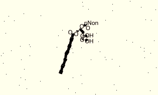 C#CC#CC#CC#CC#CC#CC(=O)OC[C@@H](COP(=O)(O)O)OC(=O)CCCCCCCCC